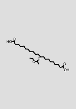 CCOC(C)=O.O=C(O)CCCCCCCCCCCCCCCCCCCC(=O)O